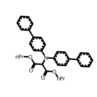 CCCOC(=O)C(C(=O)OCCC)N(c1ccc(-c2ccccc2)cc1)c1ccc(-c2ccccc2)cc1